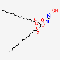 CCCCCCCCCCCCCCCC(=O)OCC(COC(=O)CCCCCCCCCCCCCCC)OC(=O)NC1CN(CCO)C1